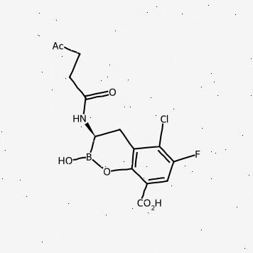 CC(=O)CCC(=O)N[C@H]1Cc2c(Cl)c(F)cc(C(=O)O)c2OB1O